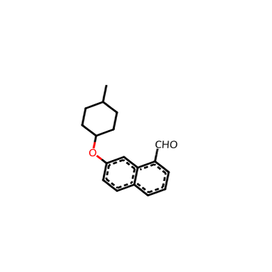 CC1CCC(Oc2ccc3cccc(C=O)c3c2)CC1